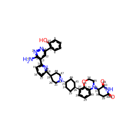 Nc1nnc(-c2ccccc2O)cc1-c1cccc(C2CCN([C@H]3CC[C@H](c4cccc5c4OCCN5C4CCC(=O)NC4=O)CC3)CC2)n1